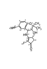 CC1(C)Oc2ccc(C#N)cc2C(NC2=C(F)C(=O)CC2)C1O